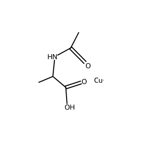 CC(=O)NC(C)C(=O)O.[Cu]